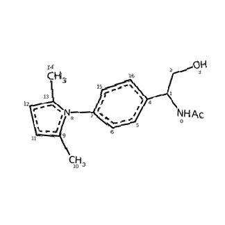 CC(=O)NC(CO)c1ccc(-n2c(C)ccc2C)cc1